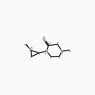 C[C@@H]1CC1N1CCN(C)CC1=O